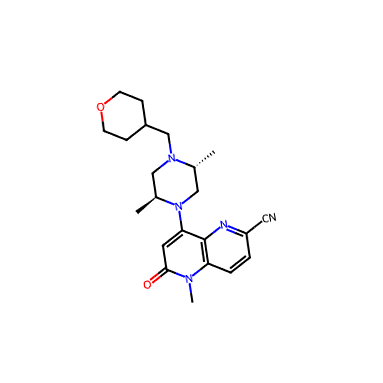 C[C@@H]1CN(c2cc(=O)n(C)c3ccc(C#N)nc23)[C@@H](C)CN1CC1CCOCC1